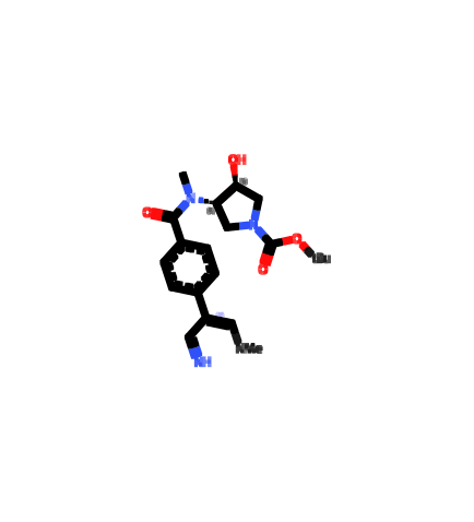 CN/C=C(\C=N)c1ccc(C(=O)N(C)[C@H]2CN(C(=O)OC(C)(C)C)C[C@@H]2O)cc1